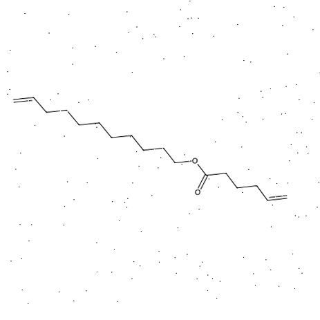 C=CCCCCCCCCCOC(=O)CCCC=C